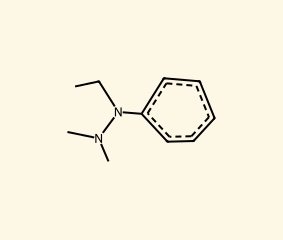 CCN(c1ccccc1)N(C)C